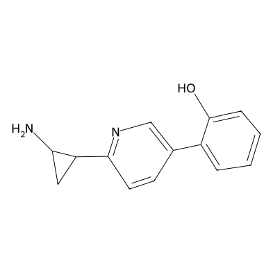 NC1CC1c1ccc(-c2ccccc2O)cn1